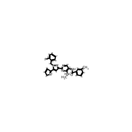 CNc1nc(-c2cc(C3=NCC=C3)n(Cc3ccccc3F)n2)ncc1NC(=O)c1cccc(C)c1